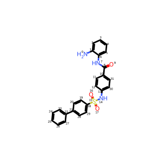 Nc1ccccc1NC(=O)c1ccc(NS(=O)(=O)c2ccc(-c3ccccc3)cc2)cc1